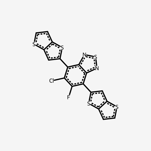 Fc1c(Cl)c(-c2cc3sccc3s2)c2nsnc2c1-c1cc2sccc2s1